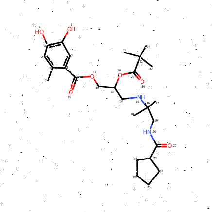 Cc1cc(O)c(O)cc1C(=O)OCC(CNC(C)(C)CNC(=O)C1CCCC1)OC(=O)C(C)(C)C